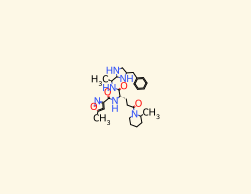 Cc1cc(C(=O)N[C@@H](CCC(=O)N2CCCC[C@@H]2C)C(=O)N[C@@H](C)C2NCC(Cc3ccccc3)N2)no1